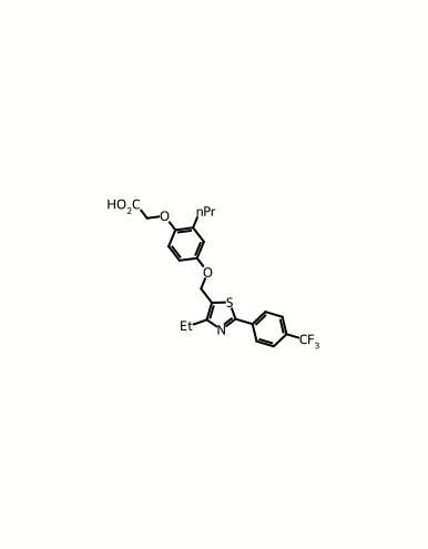 CCCc1cc(OCc2sc(-c3ccc(C(F)(F)F)cc3)nc2CC)ccc1OCC(=O)O